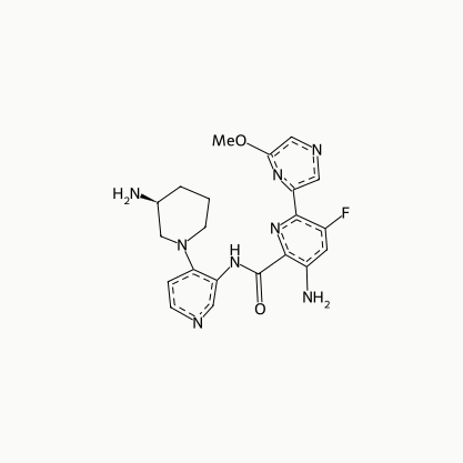 COc1cncc(-c2nc(C(=O)Nc3cnccc3N3CCC[C@H](N)C3)c(N)cc2F)n1